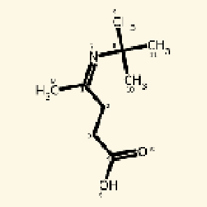 C/C(CCC(=O)O)=N/C(C)(C)C